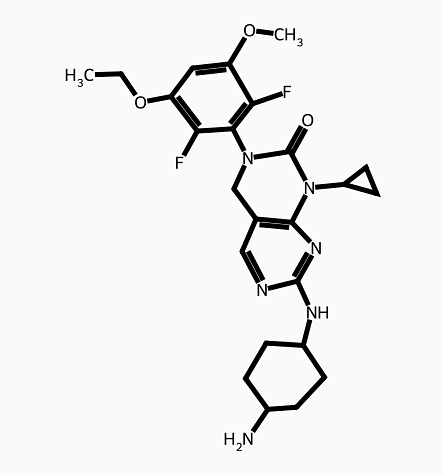 CCOc1cc(OC)c(F)c(N2Cc3cnc(NC4CCC(N)CC4)nc3N(C3CC3)C2=O)c1F